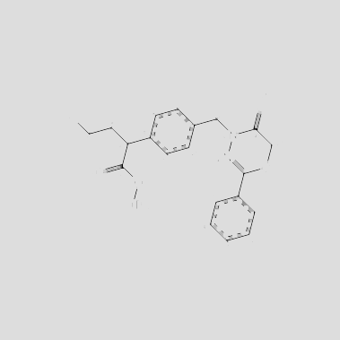 CC(C)(C)OC(=O)C(CCC(F)(F)F)c1ccc(CN2N=C(c3ccccc3)OCC2=O)cc1